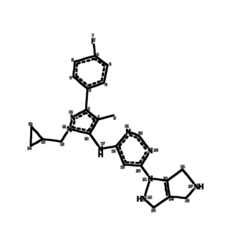 Cc1c(-c2ccc(F)cc2)nn(CC2CC2)c1Nc1cc(N2NCC3=C2CNC3)ncn1